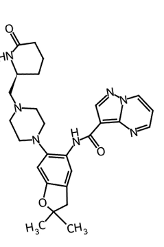 CC1(C)Cc2cc(NC(=O)c3cnn4cccnc34)c(N3CCN(C[C@@H]4CCCC(=O)N4)CC3)cc2O1